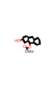 COC(=O)Oc1c2ccccc2cc2ccc(O)cc12